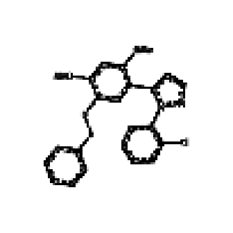 COc1cc(OC)c(-c2ccnn2-c2ccccc2Cl)cc1OCc1ccccc1